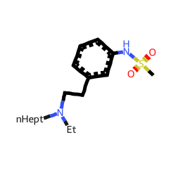 CCCCCCCN(CC)CCc1cccc(NS(C)(=O)=O)c1